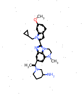 C=C(c1cc2c3c(c1)nc(-c1cc4ccc(OC)cc4n1CC1CC1)n3CCN2C)N1CCCC(N)C1